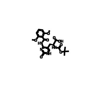 COc1cccc(OC)c1C(=O)Nc1nc(=O)[nH]cc1C[C@H](NC(=O)OC(C)(C)C)C(=O)O